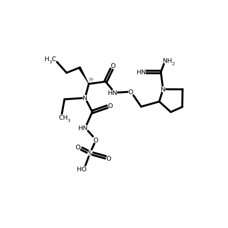 CCC[C@@H](C(=O)NOCC1CCCN1C(=N)N)N(CC)C(=O)NOS(=O)(=O)O